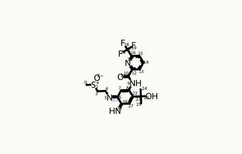 C[S+]([O-])CC/N=C1\C=C(NC(=O)c2cccc(C(F)(F)F)n2)C(C(C)(C)O)=CC1=N